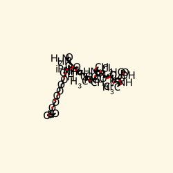 Cc1c[nH]c2c(OCP(=O)(O)O)cc3c(c12)[C@H](CCl)CN3C(=O)C12CC(C(=O)N3C[C@@H](CCl)c4c3cc(OC(=S)N(C)CCN(C)C(=O)OCc3ccc(NC(=O)[C@H](CCCNC(N)=O)NC(=O)[C@@H](NC(=O)CCOCCOCCOCCOCCOCCOCCN5C(=O)C=CC5=O)C(C)C)cc3)c3[nH]cc(C)c43)(C1)C2